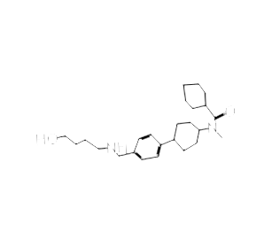 CN(C(=O)C1CCCCC1)C1CCC(c2ccc(CNCCCCO)cc2)CC1